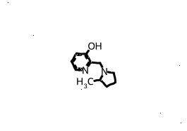 CC1CCCN1Cc1ncccc1O